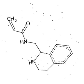 C=CC(=O)NCC1NCCc2ccccc21